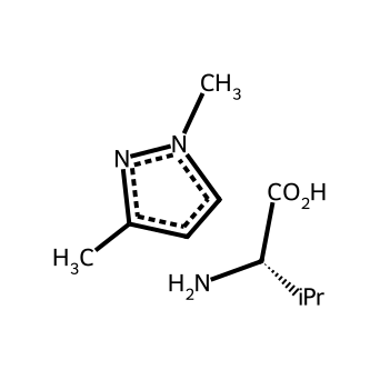 CC(C)[C@H](N)C(=O)O.Cc1ccn(C)n1